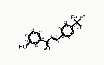 O=C(/C=C/c1ccc(C(F)(F)F)cc1)c1cccc(O)c1